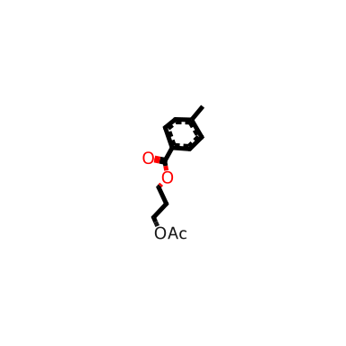 CC(=O)OCCCOC(=O)c1ccc(C)cc1